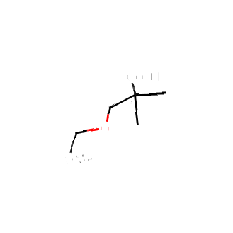 COCOCC(C)(C)C(=O)O